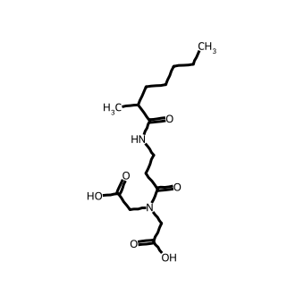 CCCCCC(C)C(=O)NCCC(=O)N(CC(=O)O)CC(=O)O